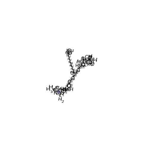 C=CC(CC(=O)Nc1ccc(OCCOCCN(CCOCCNc2cccc(C(=O)C(C)[C@H]3CCC(=O)NC3=O)c2C(C)=O)C(=O)CCCCCCCCCCC(=O)OC(C)(C)C)cc1)C(=N)/C=C(/C(C)=N)C(C)S